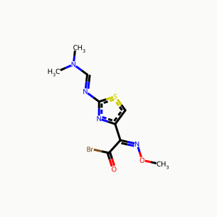 CON=C(C(=O)Br)c1csc(N=CN(C)C)n1